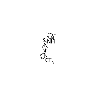 Cc1cc(C)nc(NC(=S)N2CCN(c3cccc(C(F)(F)F)n3)CC2)c1